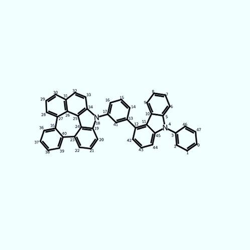 c1ccc(-n2c3ccccc3c3c(-c4cccc(-n5c6cccc7c6c6c8c(cccc8ccc65)-c5ccccc5-7)c4)cccc32)cc1